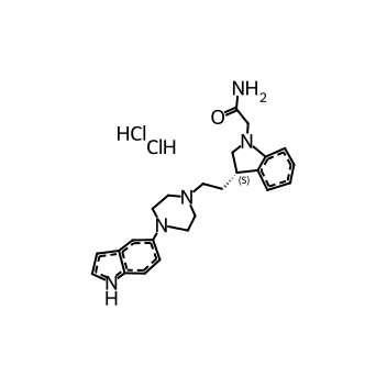 Cl.Cl.NC(=O)CN1C[C@@H](CCN2CCN(c3ccc4[nH]ccc4c3)CC2)c2ccccc21